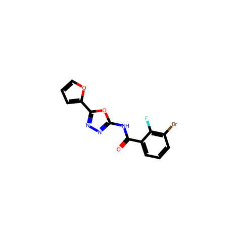 O=C(Nc1nnc(-c2ccco2)o1)c1cccc(Br)c1F